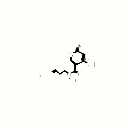 C=CCCN(C)C(=O)c1c[nH]c(=O)cc1Cl